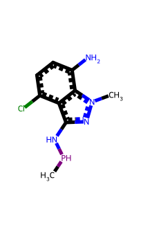 CPNc1nn(C)c2c(N)ccc(Cl)c12